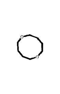 [CH]1CCOC[CH]CCOC1